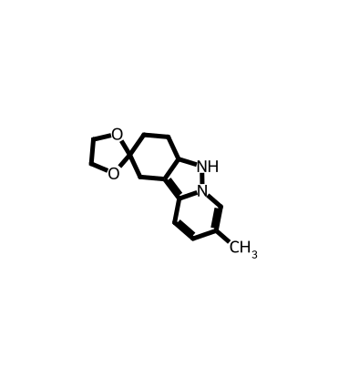 CC1=CN2NC3CCC4(CC3=C2C=C1)OCCO4